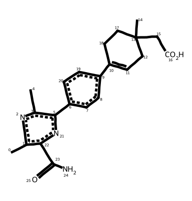 Cc1nc(C)c(-c2ccc(C3=CCC(C)(CC(=O)O)CC3)cc2)nc1C(N)=O